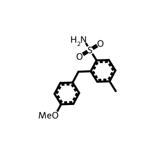 COc1ccc(Cc2cc(C)ccc2S(N)(=O)=O)cc1